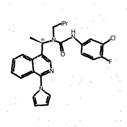 CC(C)CN(C(=O)Nc1ccc(F)c(Cl)c1)[C@H](C)c1cnc(-n2cccc2)c2ccccc12